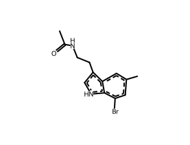 CC(=O)NCCc1c[nH]c2c(Br)cc(C)cc12